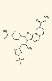 COC(=O)N1CCc2ccc3c(nc(N4CCC(C(=O)O)CC4)n3[C@@H](C)Cn3cc(C(F)(F)F)cn3)c2C1